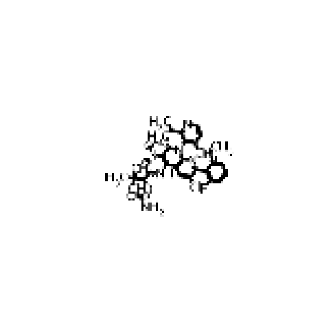 COc1cccc(F)c1-c1nc2c(cc1Cl)c(NCC(OC(N)=O)C(C)(C)C)c([N+](=O)[O-])c(=O)n2-c1c(C)ccnc1C(C)C